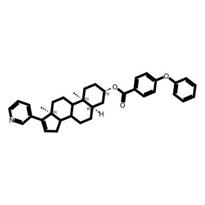 C[C@]12CCC3C(CC[C@@H]4C[C@@H](OC(=O)c5ccc(Oc6ccccc6)cc5)CC[C@]34C)C1CC=C2c1cccnc1